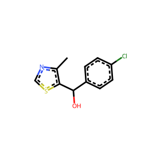 Cc1ncsc1C(O)c1ccc(Cl)cc1